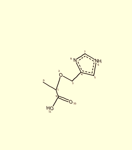 CC(OCc1c[nH]cn1)C(=O)O